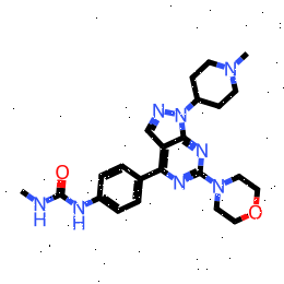 CNC(=O)Nc1ccc(-c2nc(N3CCOCC3)nc3c2cnn3C2CCN(C)CC2)cc1